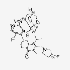 Cc1c(CN2CC[C@H](F)C2)n(C(C)C)c2cc(-c3nc(N[C@@H]4C[C@H]5CO[C@H](O5)[C@H]4O)ncc3F)ccc2c1=O